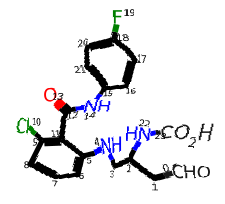 O=CCC(CNc1cccc(Cl)c1C(=O)Nc1ccc(F)cc1)NC(=O)O